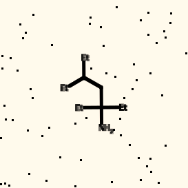 CC[C](CC)CC(N)(CC)CC